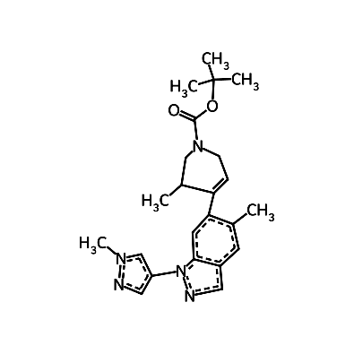 Cc1cc2cnn(-c3cnn(C)c3)c2cc1C1=CCN(C(=O)OC(C)(C)C)CC1C